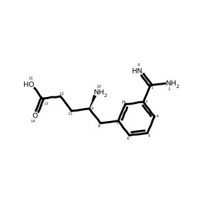 N=C(N)c1cccc(C[C@H](N)CCC(=O)O)c1